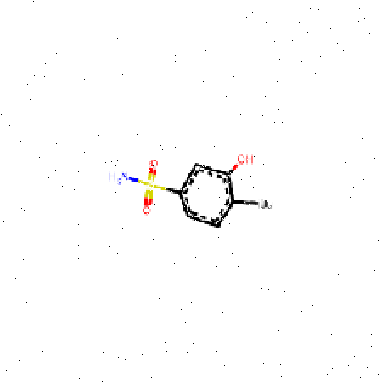 CCC(C)c1ccc(S(N)(=O)=O)cc1O